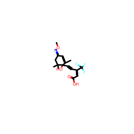 CO/N=C1\C=C(C)C(O)(C#C/C(=C\C(=O)O)C(F)(F)F)C(C)(C)C1